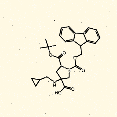 CC(C)(C)OC(=O)C1CC(NCC2CC2)(C(=O)O)CN1C(=O)OCC1c2ccccc2-c2ccccc21